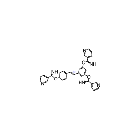 N=C(Oc1ccc(/C=C/c2cc(OC(=N)c3cccnc3)cc(OC(=N)c3cccnc3)c2)cc1)c1cccnc1